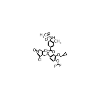 Cc1cc(C(=O)O[C@@H](Cc2c(Cl)c[n+]([O-])cc2Cl)c2ccc(OC(F)F)c(OCC3CC3)c2)ccc1NS(C)(=O)=O